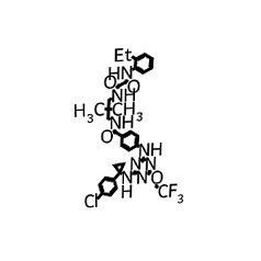 CCc1ccccc1NC(=O)C(=O)NCC(C)(C)CNC(=O)c1ccc(Nc2nc(NC3(c4ccc(Cl)cc4)CC3)nc(OCC(F)(F)F)n2)cc1